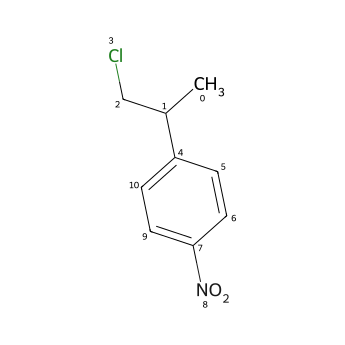 CC(CCl)c1ccc([N+](=O)[O-])cc1